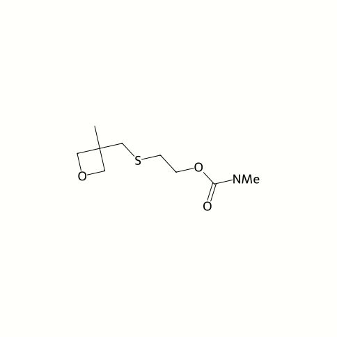 CNC(=O)OCCSCC1(C)COC1